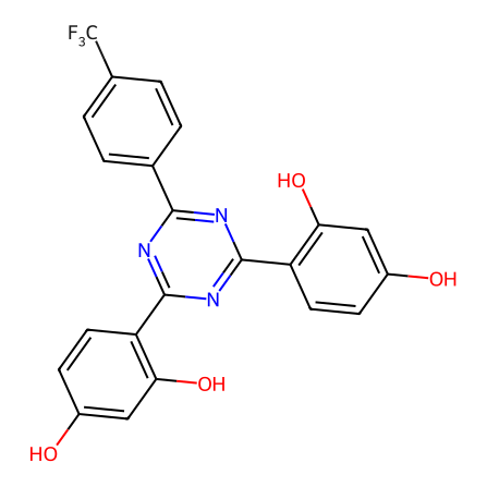 Oc1ccc(-c2nc(-c3ccc(C(F)(F)F)cc3)nc(-c3ccc(O)cc3O)n2)c(O)c1